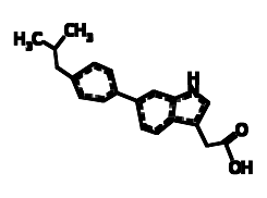 CC(C)Cc1ccc(-c2ccc3c(CC(=O)O)c[nH]c3c2)cc1